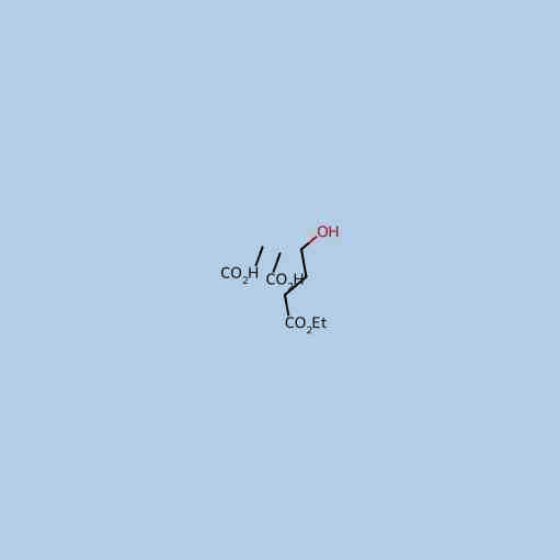 CC(=O)O.CC(=O)O.CCOC(=O)CCCO